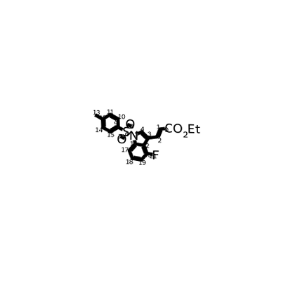 CCOC(=O)/C=C/c1cn(S(=O)(=O)c2ccc(C)cc2)c2cccc(F)c12